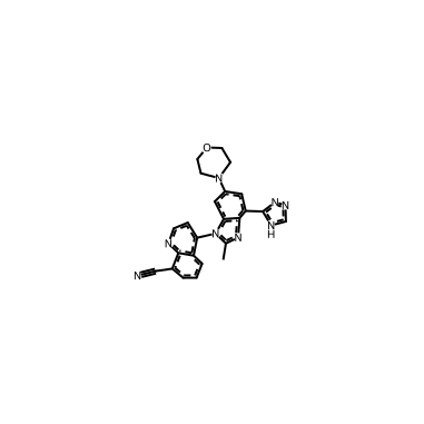 Cc1nc2c(-c3nnc[nH]3)cc(N3CCOCC3)cc2n1-c1ccnc2c(C#N)cccc12